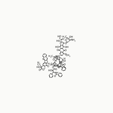 CC(=O)O[C@H]1C(=O)[C@@]2(C)[C@H]([C@H](OC(=O)c3ccccc3)[C@]3(O)C[C@H](OC(=O)[C@H](O)[C@@H](NC(=O)c4ccccc4)c4ccccc4)C(C)=C1C3(C)C)[C@]1(OC(C)=O)CO[C@@H]1C[C@@H]2O.CC[C@@]1(O)C(=O)OCc2c1cc1n(c2=O)Cc2cc3ccccc3nc2-1.COc1cccc2c1C(=O)c1c(O)c3c(c(O)c1C2=O)C[C@@](O)(C(=O)CO)C[C@@H]3O[C@H]1C[C@H](N)[C@H](O)[C@H](C)O1